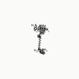 C=Cc1ccccc1/C(=C\C)C[C@H](NC)C(=O)N[C@@H](CCCC)C(=O)N1[C@@H](C)CC[C@H]1C(=O)NCc1cn(CCCCCCCCCCN(C)/C=C(\N=N)[C@@H](N)c2ccccc2)nn1